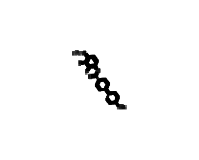 CCCCCc1ccc(OC(=O)[C@H]2CC[C@H]([C@H]3CC[C@H](CCCC)CC3)CC2)c(F)c1F